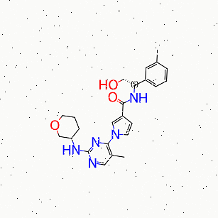 Cc1cccc([C@@H](CO)NC(=O)c2ccn(-c3nc(NC4CCCOC4)ncc3C)c2)c1